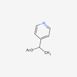 CC(=O)OC(C)c1ccncc1